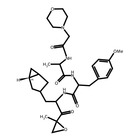 COc1ccc(CC(NC(=O)C(C)NC(=O)CN2CCOCC2)C(=O)NC(CC2CC3C[C@H]3C2)C(=O)C2(C)CO2)cc1